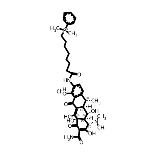 C[C@H]1c2ccc(NC(=O)CCCCCCC[P+](C)(C)c3ccccc3)c(O)c2C(=O)C2=C(O)[C@]3(O)C(=O)C(C(N)=O)=C(O)[C@@H](N(C)C)[C@@H]3[C@@H](O)[C@@H]21.[Cl-]